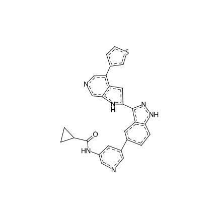 O=C(Nc1cncc(-c2ccc3[nH]nc(-c4cc5c(-c6ccsc6)cncc5[nH]4)c3c2)c1)C1CC1